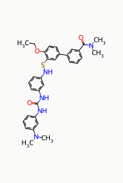 CCOc1ccc(-c2cccc(C(=O)N(C)C)c2)cc1SNc1cccc(NC(=O)Nc2cccc(N(C)C)c2)c1